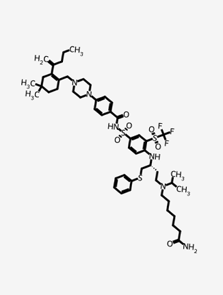 C=C(CCC)C1=C(CN2CCN(c3ccc(C(=O)NS(=O)(=O)c4ccc(N[C@H](CCN(CCCCCCC(N)=O)C(C)C)CSc5ccccc5)c(S(=O)(=O)C(F)(F)F)c4)cc3)CC2)CCC(C)(C)C1